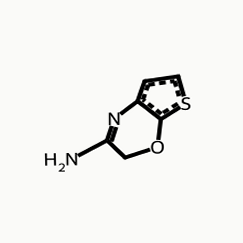 NC1=Nc2ccsc2OC1